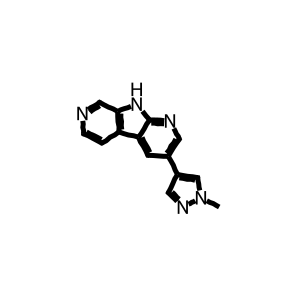 Cn1cc(-c2cnc3[nH]c4cnccc4c3c2)cn1